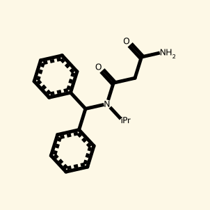 CC(C)N(C(=O)CC(N)=O)C(c1ccccc1)c1ccccc1